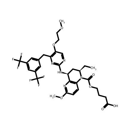 CC[C@@H]1C[C@H](Nc2ncc(OCCOC)c(Cc3cc(C(F)(F)F)cc(C(F)(F)F)c3)n2)c2nc(OC)ccc2N1C(=O)OCCCC(=O)O